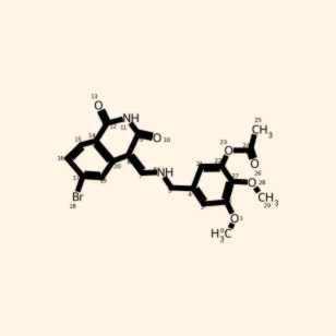 COc1cc(CNC=C2C(=O)NC(=O)c3ccc(Br)cc32)cc(OC(C)=O)c1OC